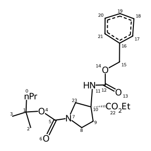 CCCC(C)(C)OC(=O)N1CC[C@@](NC(=O)OCc2ccccc2)(C(=O)OCC)C1